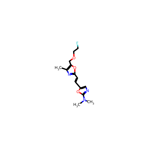 Cc1nc(/C=C/c2cnc(N(C)C)o2)oc1COCCF